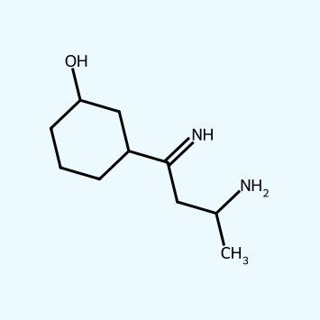 CC(N)CC(=N)C1CCCC(O)C1